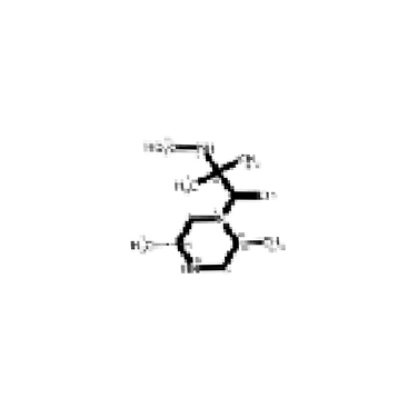 C[C@@H]1CN(C(=O)C(C)(C)NC(=O)O)[C@@H](C)CN1